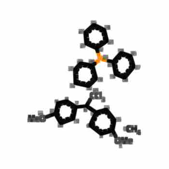 C.COc1ccc(C(c2ccc(OC)cc2)C(Cl)(Cl)Cl)cc1.c1ccc(P(c2ccccc2)c2ccccc2)cc1